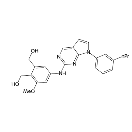 CCCc1cccc(-n2ccc3cnc(Nc4cc(CO)c(CO)c(OC)c4)nc32)c1